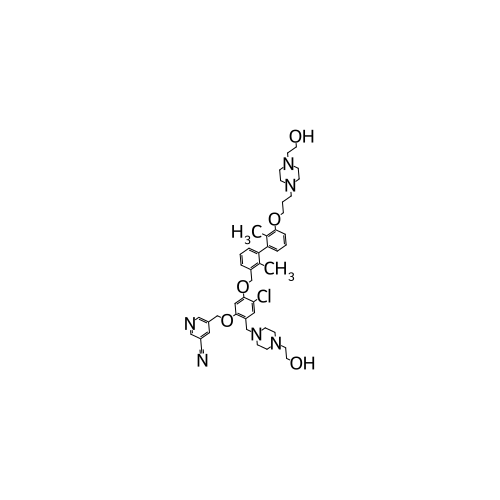 Cc1c(COc2cc(OCc3cncc(C#N)c3)c(CN3CCN(CCO)CC3)cc2Cl)cccc1-c1cccc(OCCCN2CCN(CCO)CC2)c1C